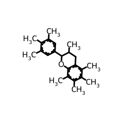 Cc1cc(C2Oc3c(C)c(C)c(C)c(C)c3CC2C)cc(C)c1C